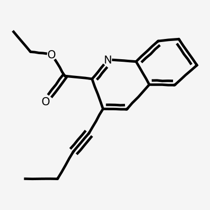 CCC#Cc1cc2ccccc2nc1C(=O)OCC